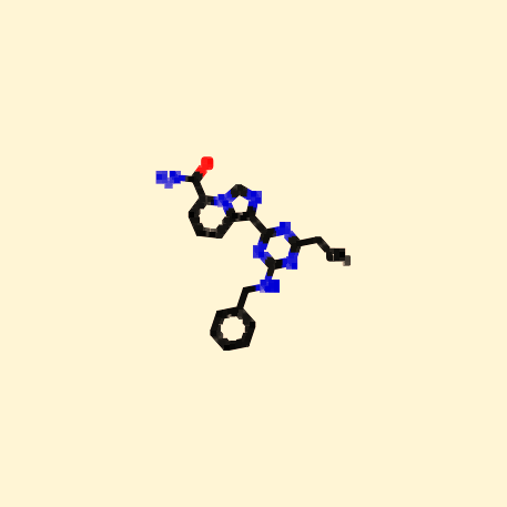 CCc1nc(NCc2ccccc2)nc(-c2ncn3c(C(N)=O)cccc23)n1